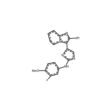 CCCc1nc2ccccn2c1-c1csc(Nc2ccc(OC)c(F)c2)n1